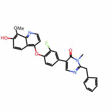 COc1c(O)ccc2c(Oc3ccc(-c4cnc(Cc5ccccc5)n(C)c4=O)cc3F)ccnc12